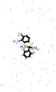 CC(C)(Sc1ccc(Cl)c(N)c1)c1c(F)cccc1F